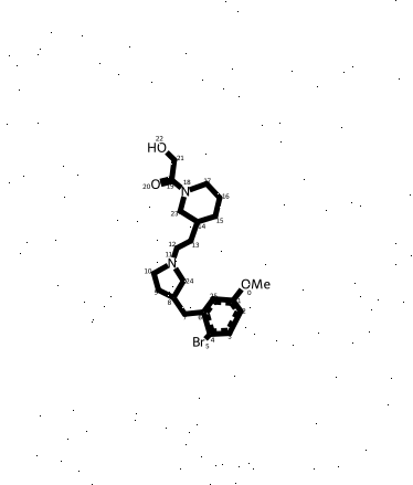 COc1ccc(Br)c(CC2CCN(CCC3CCCN(C(=O)CO)C3)C2)c1